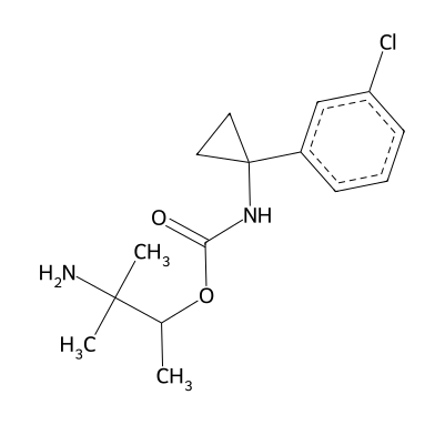 CC(OC(=O)NC1(c2cccc(Cl)c2)CC1)C(C)(C)N